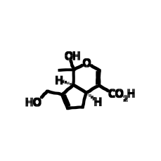 CC1(O)OC=C(C(=O)O)[C@H]2CC=C(CO)[C@H]21